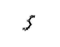 OOC[SiH3]